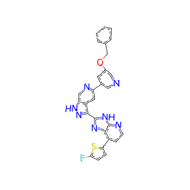 Fc1ccc(-c2ccnc3[nH]c(-c4n[nH]c5cnc(-c6cncc(OCc7ccccc7)c6)cc45)nc23)s1